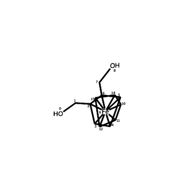 OC[C]12[CH]3[CH]4[CH]5[C]1(CO)[Fe]43521678[CH]2[CH]1[CH]6[CH]7[CH]28